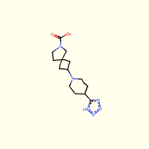 O=C(O)N1CCC2(CC(N3CCC(c4nnn[nH]4)CC3)C2)C1